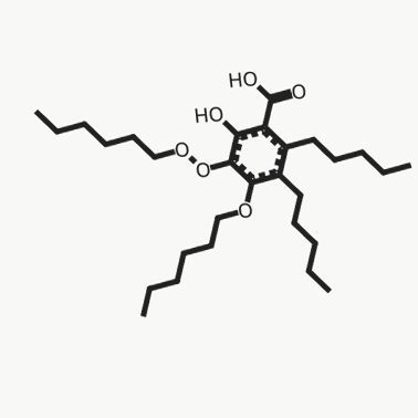 CCCCCCOOc1c(O)c(C(=O)O)c(CCCCC)c(CCCCC)c1OCCCCCC